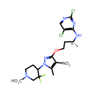 Cc1c([N+](=O)[O-])c(OCC[C@@H](C)Nc2nc(Cl)ncc2Cl)nn1C1CCN(C(=O)O)CC1(F)F